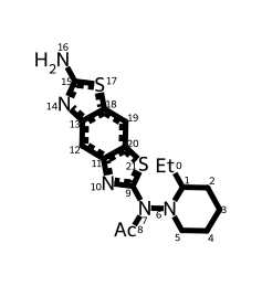 CCC1CCCCN1N(C(C)=O)c1nc2cc3nc(N)sc3cc2s1